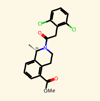 COC(=O)c1cccc2c1CCN(C(=O)Cc1c(Cl)cccc1Cl)[C@H]2C